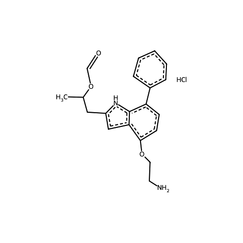 CC(Cc1cc2c(OCCN)ccc(-c3ccccc3)c2[nH]1)OC=O.Cl